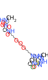 C=C1CCC(N2C(=O)c3cccc(NC(=O)CCCCCOCCOCCOCCCCCCN4CCN(c5cc(Nc6ncc(C(=O)Nc7c(C)cccc7Cl)s6)nc(C)n5)CC4)c3C2=O)C(=O)N1